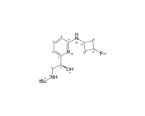 CC(C)(C)NC[C@H](O)c1cccc(NC2CC(F)C2)n1